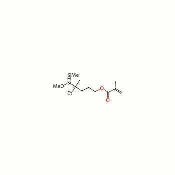 [CH2]CC(C)(CCCOC(=O)C(=C)C)[SiH](OC)OC